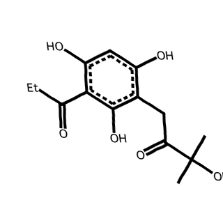 CCC(=O)c1c(O)cc(O)c(CC(=O)C(C)(C)O)c1O